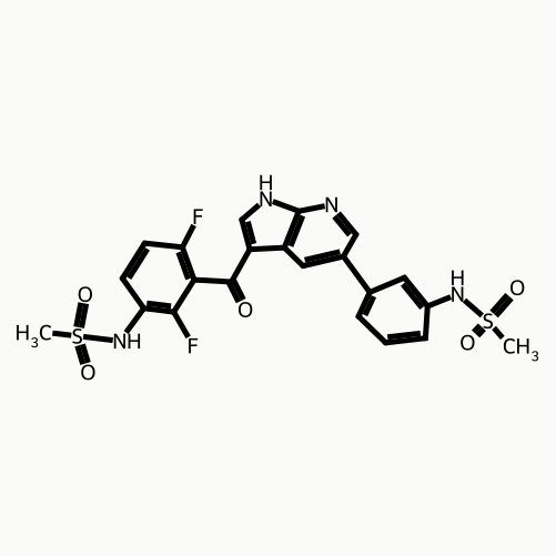 CS(=O)(=O)Nc1cccc(-c2cnc3[nH]cc(C(=O)c4c(F)ccc(NS(C)(=O)=O)c4F)c3c2)c1